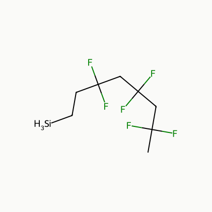 CC(F)(F)CC(F)(F)CC(F)(F)CC[SiH3]